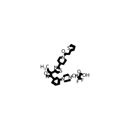 Cc1onc(-c2cccc(N3CCN(C)CC3)c2)c1-c1csc(C2CCN(C(=O)Cc3cccs3)CC2)n1.O=C(O)C(F)(F)F